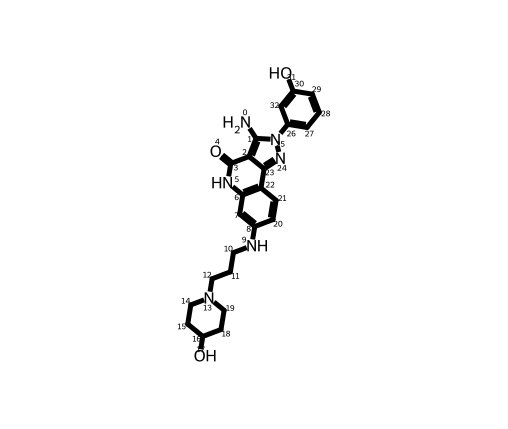 Nc1c2c(=O)[nH]c3cc(NCCCN4CCC(O)CC4)ccc3c2nn1-c1cccc(O)c1